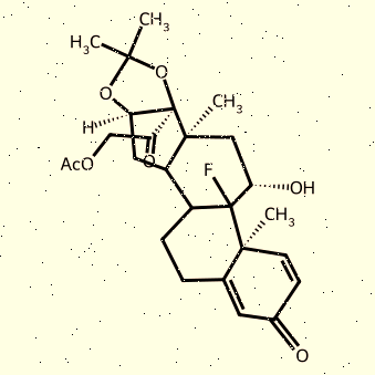 CC(=O)OCC(=O)[C@@]12OC(C)(C)O[C@@H]1CC1C3CCC4=CC(=O)C=C[C@]4(C)C3(F)[C@@H](O)C[C@@]12C